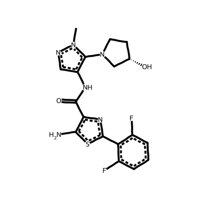 Cn1ncc(NC(=O)c2nc(-c3c(F)cccc3F)sc2N)c1N1CC[C@H](O)C1